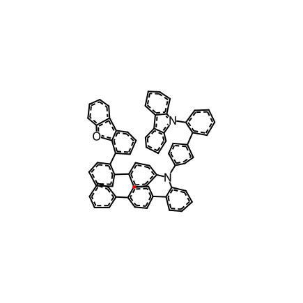 c1ccc(-c2ccc(-c3ccccc3N(c3ccc(-c4ccccc4-c4cccc5c4oc4ccccc45)cc3)c3ccc(-c4ccccc4-n4c5ccccc5c5ccccc54)cc3)cc2)cc1